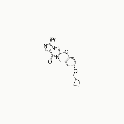 CC(C)c1ncc2c(=O)n(C)c(Oc3ccc(OCC4CCC4)cc3)cn12